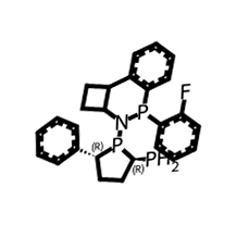 Fc1ccccc1P1c2ccccc2C2CCC2N1P1[C@@H](c2ccccc2)CC[C@@H]1P